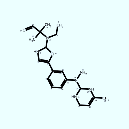 CCN(C1NC=C(c2cccc(N(N)C3NCC=C(C)N3)c2)O1)C(C)(C)C=O